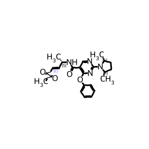 C[C@@H]1CC[C@H](C)N1c1ncc(C(=O)N[C@@H](C)/C=C/S(C)(=O)=O)c(Oc2ccccc2)n1